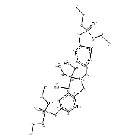 CCOP(=O)(Cc1ccc(CN(Cc2ccc(CP(=O)(OCC)OCC)cn2)C(CO)(CO)CO)nc1)OCC